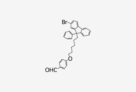 O=Cc1ccc(OCCCCCCC2(c3ccccc3)c3ccccc3-c3ccc(Br)cc32)cc1